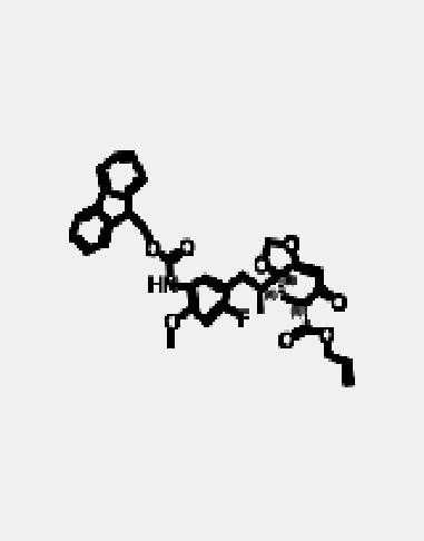 C=CCOC(=O)[C@@H]1C[C@]2([C@@H](C)Cc3cc(NC(=O)OCC4c5ccccc5-c5ccccc54)c(OC)cc3F)OCOC2=CC1=O